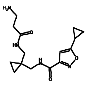 NCCC(=O)NCC1(CNC(=O)c2cc(C3CC3)on2)CC1